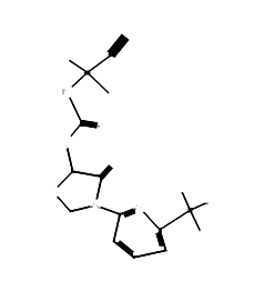 C#CC(C)(C)NC(=O)OC1SCN(c2cccc(C(F)(F)F)n2)C1=O